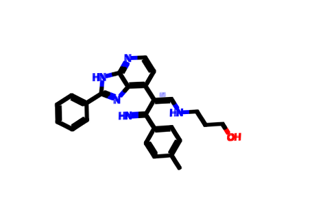 Cc1ccc(C(=N)/C(=C\NCCCO)c2ccnc3[nH]c(-c4ccccc4)nc23)cc1